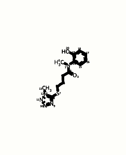 CN(C(=O)CCCSc1nnnn1C)c1ccccc1O